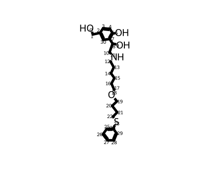 OCc1ccc(O)c(C(O)CNCCCCCCOCCCCSc2ccccc2)c1